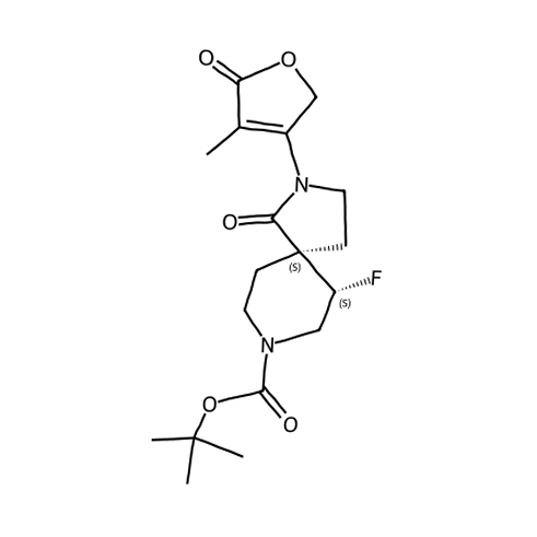 CC1=C(N2CC[C@]3(CCN(C(=O)OC(C)(C)C)C[C@H]3F)C2=O)COC1=O